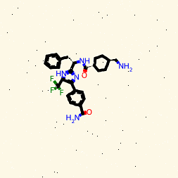 NC[C@H]1CC[C@H](C(=O)N[C@@H](Cc2ccccc2)c2nc(-c3ccc(C(N)=O)cc3)c(C(F)(F)F)[nH]2)CC1